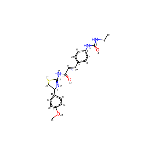 CCNC(=O)Nc1ccc(/C=C/C(=O)NC2=NC(c3ccc(OC)cc3)CS2)cc1